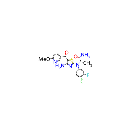 COc1ccc(C(=O)c2sc(N(c3ccc(Cl)c(F)c3)C(C)C(N)=O)nc2N)cn1